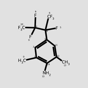 Cc1cc(C(F)(C(F)(F)F)C(F)(F)C(F)(F)F)cc(C)c1N